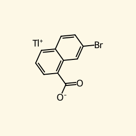 O=C([O-])c1cccc2ccc(Br)cc12.[Tl+]